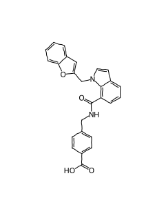 O=C(O)c1ccc(CNC(=O)c2cccc3ccn(Cc4cc5ccccc5o4)c23)cc1